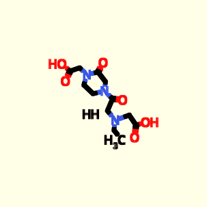 CCN(CC(=O)O)CC(=O)N1CCN(CC(=O)O)C(=O)C1.[HH]